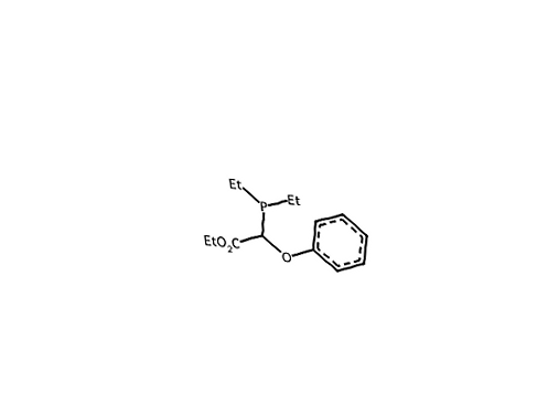 CCOC(=O)C(Oc1ccccc1)P(CC)CC